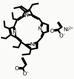 C=CC(=O)[O-].C=CC(=O)[O-].CCC1=C(CC)c2nc1c(CC)c1[nH]c(cc3nc(cc4c(CC)c(CC)c(c2CC)n4CC)C=C3)cc1CC.[Ni+2]